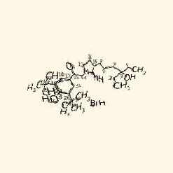 Br.CCC(O)(CC)CCCC1CCN(CC(=O)c2cc(C(C)(C)C)c(O)c(C(C)(C)C)c2)C1=N